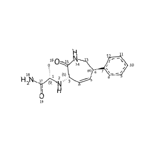 C[C@H](N[C@H]1C=C[C@H](c2ccccc2)CNC1=O)C(N)=O